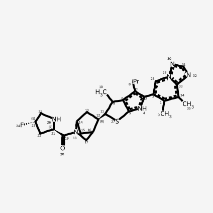 Cc1c(-c2[nH]c3c(c2C(C)C)C(C)C([C@@H]2CC4CC2CN4C(=O)[C@H]2C[C@H](F)CN2)S3)cn2ncnc2c1C